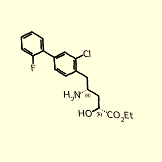 CCOC(=O)[C@H](O)C[C@H](N)Cc1ccc(-c2ccccc2F)cc1Cl